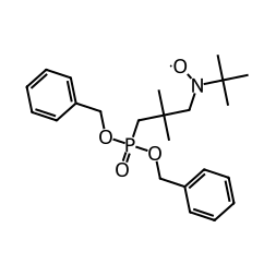 CC(C)(CN([O])C(C)(C)C)CP(=O)(OCc1ccccc1)OCc1ccccc1